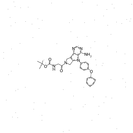 CC(C)(C)OC(=O)NCC(=O)N1Cc2c(n(-c3ccc(Oc4ccccc4)cc3)c3c(N)ncnc23)C1